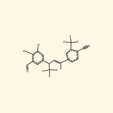 N#Cc1ccc(C(F)=CC(c2cc(Cl)c(Cl)c(C=O)c2)C(F)(F)F)cc1C(F)(F)F